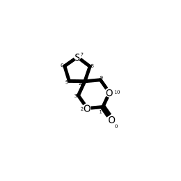 O=C1OCC2(CCSC2)CO1